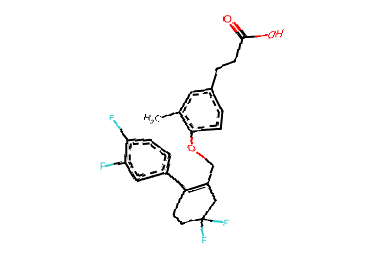 Cc1cc(CCC(=O)O)ccc1OCC1=C(c2ccc(F)c(F)c2)CCC(F)(F)C1